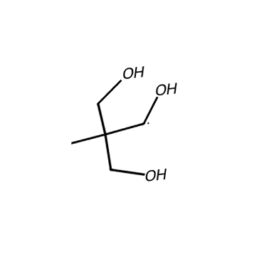 CC([CH]O)(CO)CO